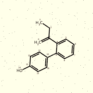 C=C(CC)c1ccccc1-c1ccc(O)cc1